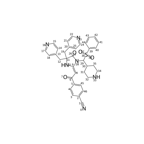 N#Cc1ccc(C(=O)/C=C2\NC(Cc3ccncc3)(Cc3ccncc3)C(=O)N2C(C2CCNCC2)S(=O)(=O)c2ccccc2)cc1